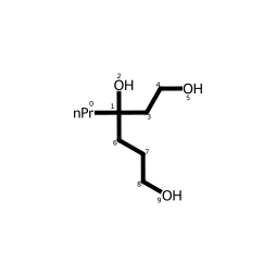 [CH2]CCC(O)(CCO)CCCO